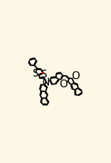 O=C1C(=Cc2ccc3cc(N(c4ccc5cc6ccccc6cc5c4)c4cc5sc(-c6ccccc6)cc5s4)ccc3c2)C(=O)c2cc3ccccc3cc21